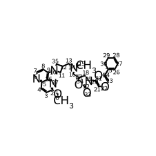 COc1ccc2nccc(N3CC(CN(C)C[C@H]4CN(C5=COC=C(C6=CC=CCC6)O5)C(=O)O4)C3)c2n1